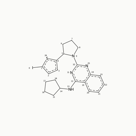 Ic1ccc(C2CCCN2c2nc(NC3CCCC3)c3ccccc3n2)s1